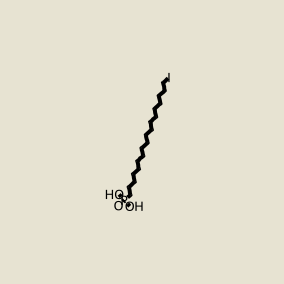 O=P(O)(O)CCCCCCCCCCCCCCCCCCI